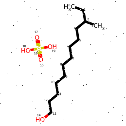 CCC(C)CCCCCCCCCCO.O=S(=O)(O)O